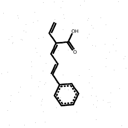 C=C/C(=C/C=C/c1ccccc1)C(=O)O